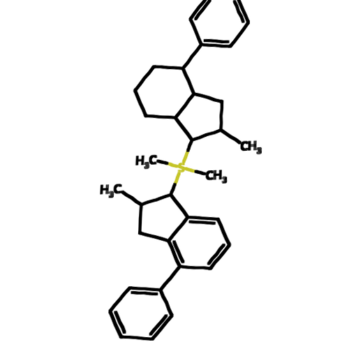 CC1Cc2c(-c3ccccc3)cccc2C1S(C)(C)C1C(C)CC2C(c3ccccc3)CCCC21